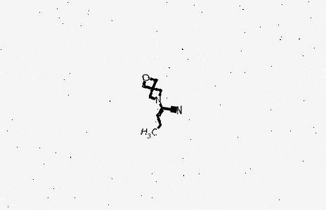 CCC=C(C#N)N1CC2(COC2)C1